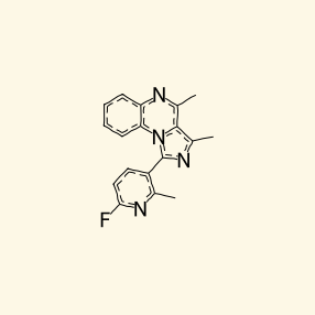 Cc1nc(F)ccc1-c1nc(C)c2c(C)nc3ccccc3n12